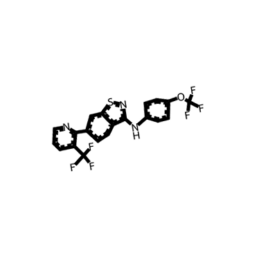 FC(F)(F)Oc1ccc(Nc2nsc3cc(-c4ncccc4C(F)(F)F)ccc23)cc1